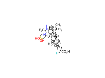 C=C(C)[C@@H]1CC[C@]2(NC(CN3CCS(O)(O)CC3)C(F)(F)F)CC[C@]3(C)[C@H](CC[C@@H]4[C@@]5(C)CC=C(C6=CCC(CF)(C(=O)O)CC6)C(C)(C)[C@@H]5CC[C@]43C)[C@@H]12